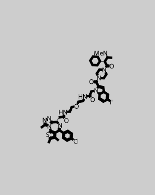 CN[C@@H](C)[C@H](C(=O)N1CCN(C(=O)C2=CC3C=C(F)C=CC3N2CC(=O)NCCOCCNC(=O)C[C@@H]2N=C(c3ccc(Cl)cc3)c3c(sc(C)c3C)-n3c(C)nnc32)CC1)C1CCCCC1